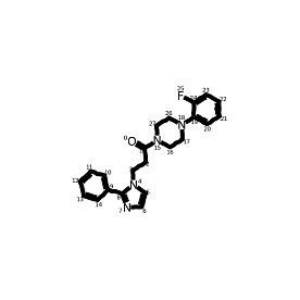 O=C(CCn1ccnc1-c1ccccc1)N1CCN(c2ccccc2F)CC1